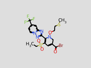 CCS(=O)(=O)C1=C(c2nc3cc(C(F)(F)F)ccn3n2)N(OCCSC)CC(C(=O)Br)=C1